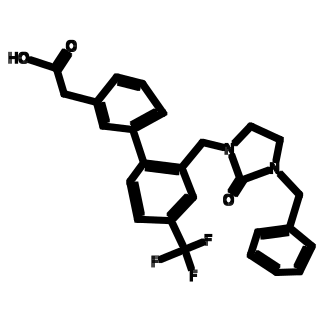 O=C(O)Cc1cccc(-c2ccc(C(F)(F)F)cc2CN2CCN(Cc3ccccc3)C2=O)c1